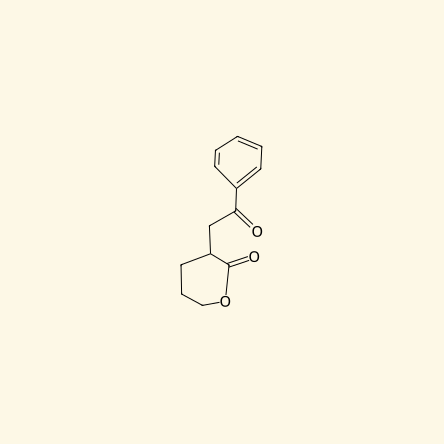 O=C(CC1CCCOC1=O)c1ccccc1